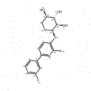 O[C@@H]1[C@@H](O)[C@@H](Oc2ccc(-c3ccnc(F)c3)nc2F)SC[C@H]1O